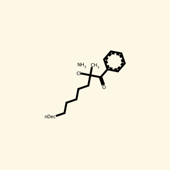 CCCCCCCCCCCCCCCC(C)(Cl)C(=O)c1ccccc1.N